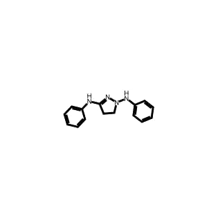 c1ccc(NC2=NN(Nc3ccccc3)CC2)cc1